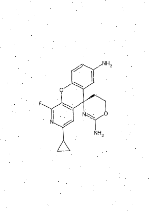 NC1=N[C@@]2(CCO1)c1cc(N)ccc1Oc1c2cc(C2CC2)nc1F